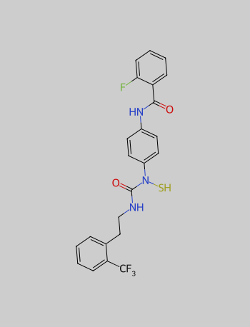 O=C(Nc1ccc(N(S)C(=O)NCCc2ccccc2C(F)(F)F)cc1)c1ccccc1F